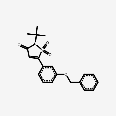 CC(C)(C)N1C(=O)C=C(c2cccc(OCc3ccccc3)c2)S1(=O)=O